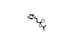 CC(C)OC(=O)CCn1c[c]nc1